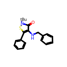 CC(C)(C)n1sc(-c2ccccc2)c(NCc2ccccc2)c1=O